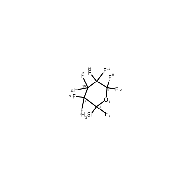 FC1(F)OC(F)([SiH3])C(F)(F)C(F)(F)C1(F)F